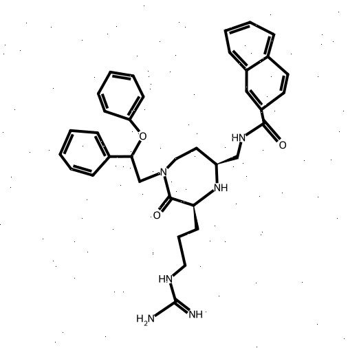 N=C(N)NCCC[C@@H]1N[C@H](CNC(=O)c2ccc3ccccc3c2)CCN(CC(Oc2ccccc2)c2ccccc2)C1=O